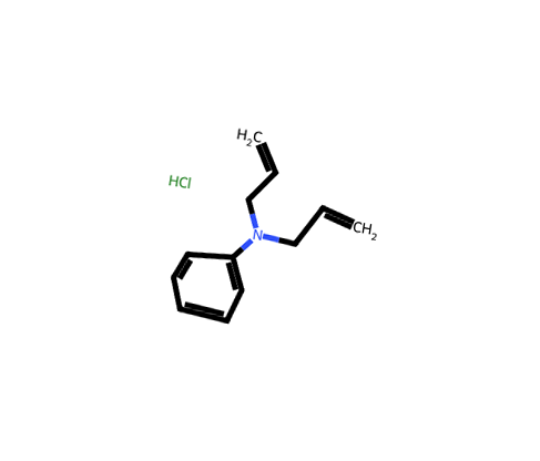 C=CCN(CC=C)c1ccccc1.Cl